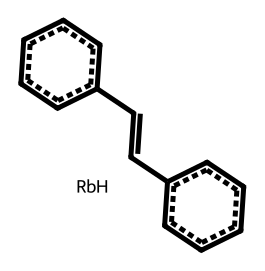 C(=Cc1ccccc1)c1ccccc1.[RbH]